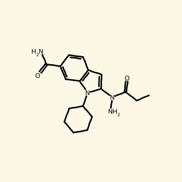 CCC(=O)N(N)c1cc2ccc(C(N)=O)cc2n1C1CCCCC1